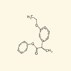 C=C(C(=O)Oc1ccccc1)c1cccc(OCC)c1